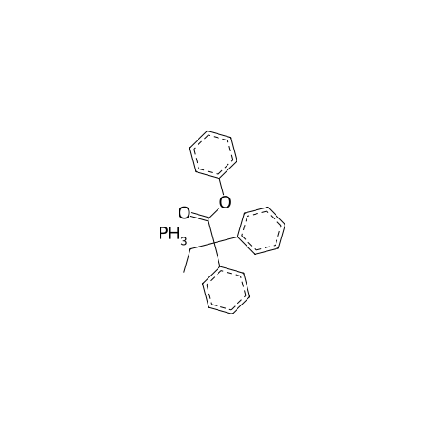 CCC(C(=O)Oc1ccccc1)(c1ccccc1)c1ccccc1.P